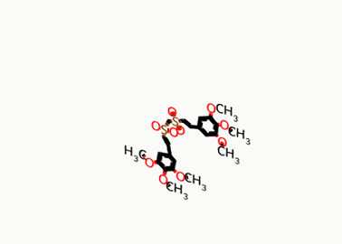 COc1cc(C=CS(=O)(=O)CS(=O)(=O)C=Cc2cc(OC)c(OC)c(OC)c2)cc(OC)c1OC